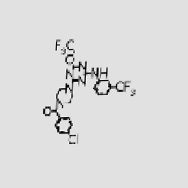 O=C(c1ccc(Cl)cc1)N1CCN(c2nc(Nc3cccc(C(F)(F)F)c3)nc(OCC(F)(F)F)n2)CC1